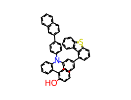 Oc1ccccc1-c1ccccc1N(c1ccc(-c2ccc3ccccc3c2)cc1)c1cccc(-c2cccc3sc4ccccc4c23)c1